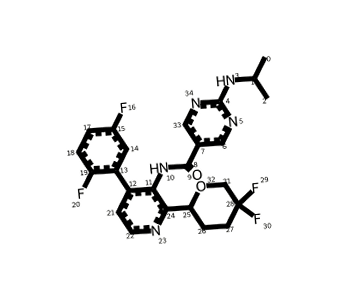 CC(C)Nc1ncc(C(=O)Nc2c(-c3cc(F)ccc3F)ccnc2C2CCC(F)(F)CO2)cn1